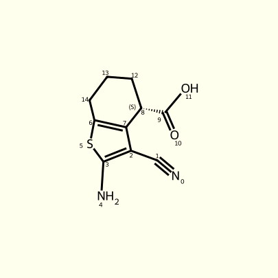 N#Cc1c(N)sc2c1[C@@H](C(=O)O)CCC2